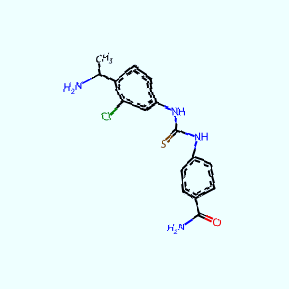 CC(N)c1ccc(NC(=S)Nc2ccc(C(N)=O)cc2)cc1Cl